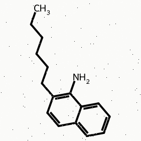 CCCCCCc1ccc2ccccc2c1N